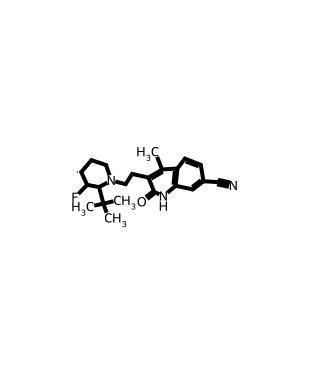 Cc1c(CCN2CC[CH]C(F)C2C(C)(C)C)c(=O)[nH]c2cc(C#N)ccc12